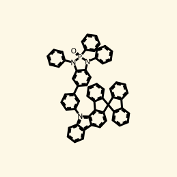 O=P1(c2ccccc2)N(c2ccccc2)c2ccc(-c3cccc(-n4c5ccccc5c5ccc6c(c54)-c4ccccc4C64c5ccccc5-c5ccccc54)c3)cc2N1c1ccccc1